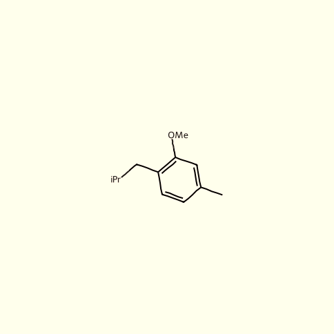 COc1cc(C)ccc1CC(C)C